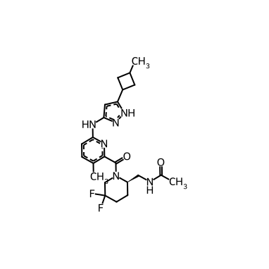 CC(=O)NC[C@H]1CCC(F)(F)CN1C(=O)c1nc(Nc2cc(C3CC(C)C3)[nH]n2)ccc1C